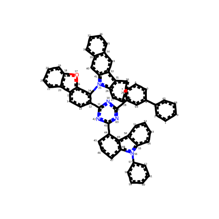 c1ccc(-c2cccc(-c3nc(-c4ccc5c(oc6ccccc65)c4-n4c5ccccc5c5cc6ccccc6cc54)nc(-c4cccc5c4c4ccccc4n5-c4ccccc4)n3)c2)cc1